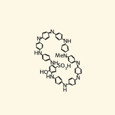 CNc1ccc(N=C2C=CC(=Nc3ccc(Nc4ccc(Nc5cc(S(=O)(=O)O)c(Nc6ccc(Nc7ccc(N=C8C=CC(=Nc9ccc(Nc%10ccccc%10)cc9)C=C8)cc7)cc6)cc5O)cc4)cc3)C=C2)cc1